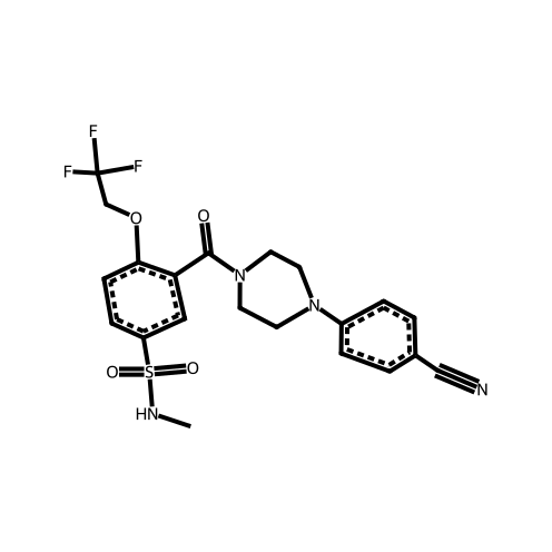 CNS(=O)(=O)c1ccc(OCC(F)(F)F)c(C(=O)N2CCN(c3ccc(C#N)cc3)CC2)c1